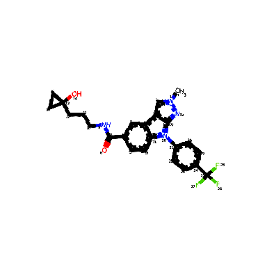 Cn1cc2c3cc(C(=O)NCCCC4(O)CC4)ccc3n(-c3ccc(C(F)(F)F)cc3)c2n1